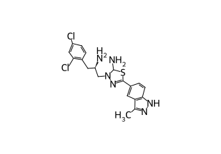 Cc1n[nH]c2ccc(C3=NN(C[C@H](N)Cc4ccc(Cl)cc4Cl)C(N)S3)cc12